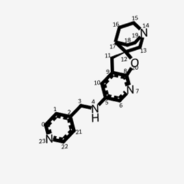 c1cc(CNc2cnc3c(c2)C[C@@]2(CN4CCC2CC4)O3)ccn1